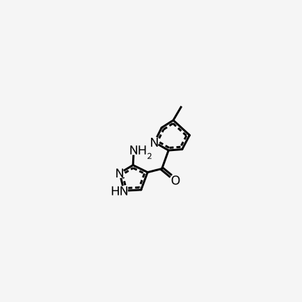 Cc1ccc(C(=O)c2c[nH]nc2N)nc1